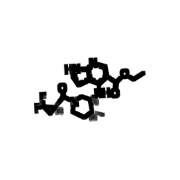 CCOC(=O)c1cnc2[nH]ccc2c1N[C@H]1CN(C(=O)[C@H]2CC2(F)F)CC[C@H]1C